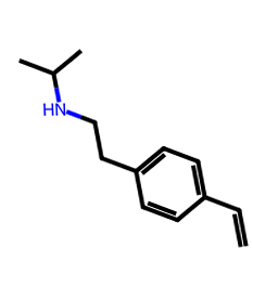 C=Cc1ccc(CCNC(C)C)cc1